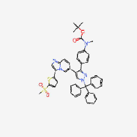 CN(C(=O)OC(C)(C)C)c1ccc(-c2nn(C(c3ccccc3)(c3ccccc3)c3ccccc3)cc2-c2ccc3ncc(-c4ccc(S(C)(=O)=O)s4)n3c2)cc1